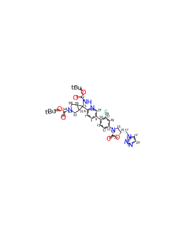 CC(C)(C)OC(=O)NC1(c2ccc(-c3ccc(N4C[C@H](Cn5ccnn5)OC4=O)cc3F)cn2)C2CN(C(=O)OC(C)(C)C)CC21